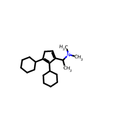 CC(C1=CCC(C2CCCCC2)=C1C1CCCCC1)N(C)C